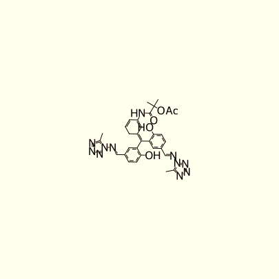 CC(=O)OC(C)(C)C(=O)NC1=CC(=C(c2cc(C=Nn3nnnc3C)ccc2O)c2cc(C=Nn3nnnc3C)ccc2O)CC=C1